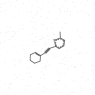 Cc1cccc(C#CC2=CCCCC2)n1